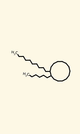 CCCCCCCCCCC1CCCCCCCCCCCCC1CCCCCC